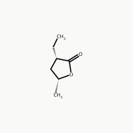 CC[C@H]1C[C@@H](C)OC1=O